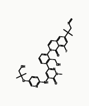 C=NCC(C)(C)c1cc(F)c2c(=O)n(-c3cccc(-c4cc(Nc5ccc(OC(C)(C)CO)cn5)c(=O)n(C)n4)c3CO)ccc2c1